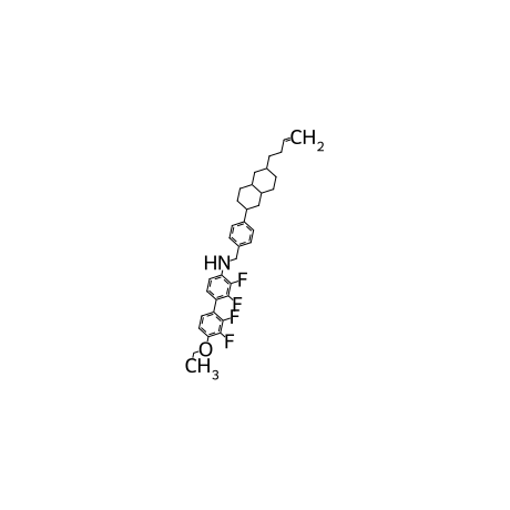 C=CCCC1CCC2CC(c3ccc(CNc4ccc(-c5ccc(OCC)c(F)c5F)c(F)c4F)cc3)CCC2C1